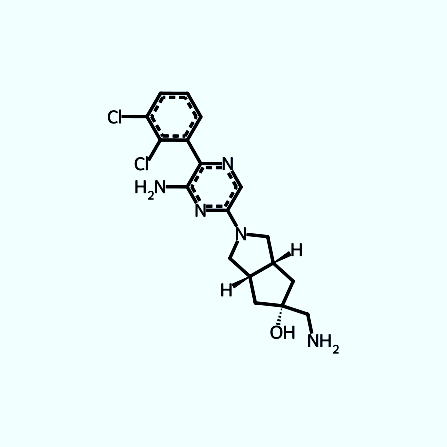 NC[C@]1(O)C[C@H]2CN(c3cnc(-c4cccc(Cl)c4Cl)c(N)n3)C[C@H]2C1